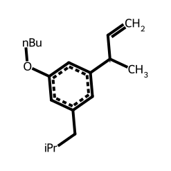 C=C[C](C)c1cc(CC(C)C)cc(OCCCC)c1